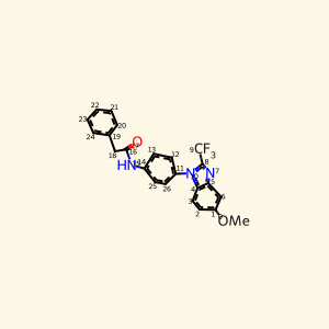 COc1ccc2c(c1)nc(C(F)(F)F)n2-c1ccc(NC(=O)Cc2ccccc2)cc1